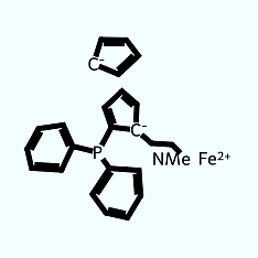 CNCC[c-]1cccc1P(c1ccccc1)c1ccccc1.[Fe+2].c1cc[cH-]c1